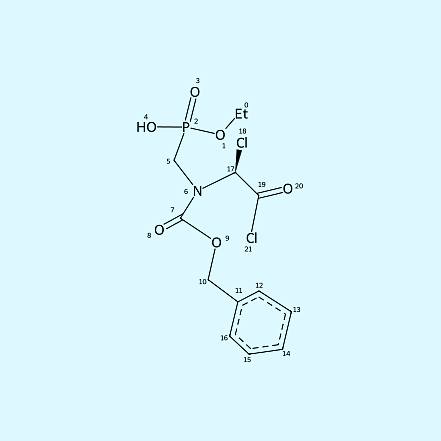 CCOP(=O)(O)CN(C(=O)OCc1ccccc1)[C@@H](Cl)C(=O)Cl